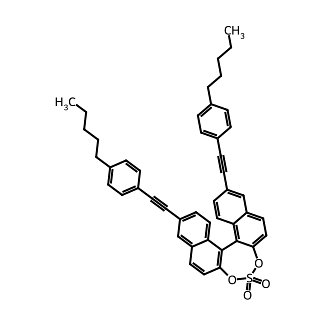 CCCCCc1ccc(C#Cc2ccc3c4c(ccc3c2)OS(=O)(=O)Oc2ccc3cc(C#Cc5ccc(CCCCC)cc5)ccc3c2-4)cc1